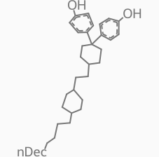 CCCCCCCCCCCCCCC1CCC(CCC2CCC(c3ccc(O)cc3)(c3ccc(O)cc3)CC2)CC1